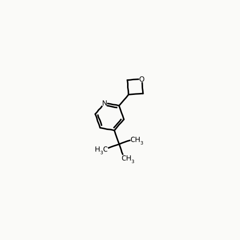 CC(C)(C)c1ccnc(C2COC2)c1